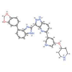 c1cc(-c2ccc3c(c2)OCO3)c2nc(-c3n[nH]c4ccc(-c5cncc(OC6CCNCC6)c5)nc34)[nH]c2c1